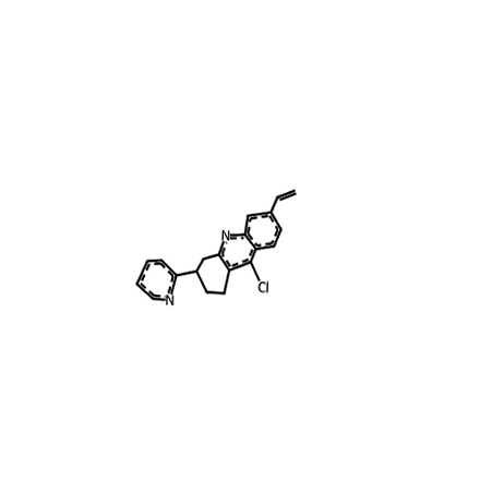 C=Cc1ccc2c(Cl)c3c(nc2c1)CC(c1ccccn1)CC3